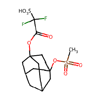 CS(=O)(=O)OC12CC3CC(CC(OC(=O)C(F)(F)S(=O)(=O)O)(C3)C1)C2